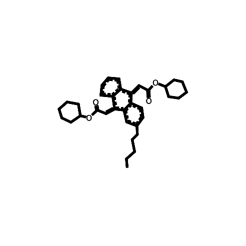 CCCCCc1ccc2c(=CC(=O)OC3CCCCC3)c3ccccc3c(=CC(=O)OC3CCCCC3)c2c1